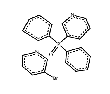 Brc1cccnc1.O=P(c1ccccc1)(c1ccccc1)c1cccnc1